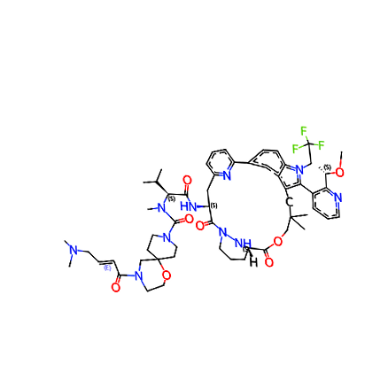 CO[C@@H](C)c1ncccc1-c1c2c3cc(ccc3n1CC(F)(F)F)-c1cccc(n1)C[C@H](NC(=O)[C@H](C(C)C)N(C)C(=O)N1CCC3(CC1)CN(C(=O)/C=C/CN(C)C)CCO3)C(=O)N1CCC[C@H](N1)C(=O)OCC(C)(C)C2